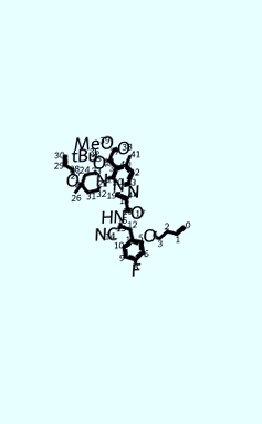 C=CCCOc1cc(F)ccc1CC(C#N)NC(=O)c1cn2c(N3CCC(C)(OCC=C)CC3)c([C@H](OC(C)(C)C)C(=O)OC)c(C)cc2n1